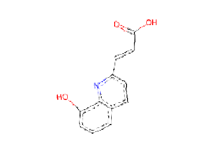 O=C(O)/C=C/c1ccc2cccc(O)c2n1